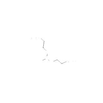 CCCCCCCCCCCCOP(S)SCCCCCCCCCCCC